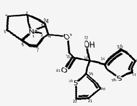 C[N+]1(C)C2CCC1CC(OC(=O)C(O)(c1cccs1)c1cccs1)C2